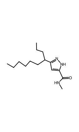 CCCCCCC(CCC)c1cc(C(=O)NC)[nH]n1